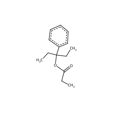 CCC(=O)OC(CC)(CC)c1ccccc1